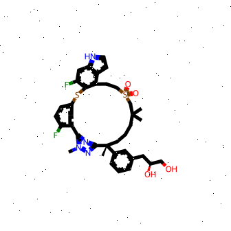 Cn1nc2nc1-c1cc(ccc1F)Sc1c(F)cc3[nH]ccc3c1CCS(=O)(=O)CC(C)(C)CCC[C@]2(C)c1cccc(C[C@H](O)CO)c1